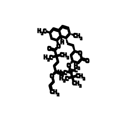 C=CCOC(=O)CCC(C)(C)C(=O)O[C@H]1C[C@@H](C)C=C2C=C[C@H](C)[C@H](CC[C@@H]3C[C@@H](O[Si](C)(C)C(C)(C)C)CC(=O)O3)[C@H]21